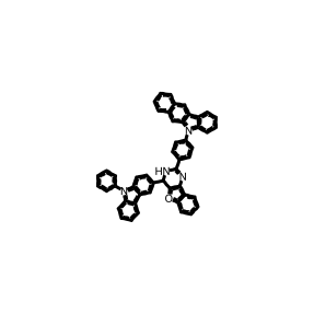 c1ccc(-n2c3ccccc3c3cc(C4NC(c5ccc(-n6c7ccccc7c7cc8ccccc8cc76)cc5)=Nc5c4oc4ccccc54)ccc32)cc1